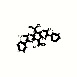 N#CC(C#N)=c1c2nc(-c3ccccc3)c(C(F)(F)F)nc2c(=C(C#N)C#N)c2nc(C(F)(F)F)c(-c3ccccc3)nc12